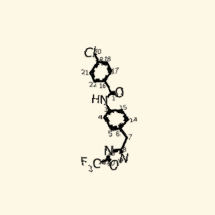 O=C(Nc1ccc(Cc2noc(C(F)(F)F)n2)cc1)c1ccc(Cl)cc1